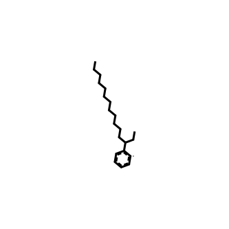 CCCCCCCCCCCCC(CC)c1[c]cccc1